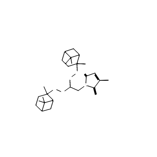 CC1=CC(=O)N(CC(OOC2(C)CCC3CC2C3(C)C)OOC2(C)CCC3CC2C3(C)C)C1=O